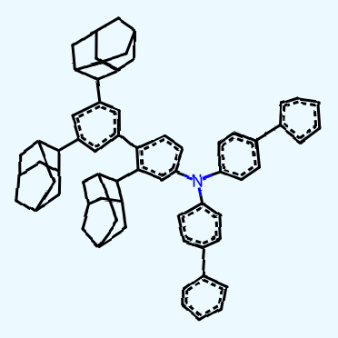 c1ccc(-c2ccc(N(c3ccc(-c4ccccc4)cc3)c3ccc(-c4cc(C5C6CC7CC(C6)CC5C7)cc(C5C6CC7CC(C6)CC5C7)c4)c(C4C5CC6CC(C5)CC4C6)c3)cc2)cc1